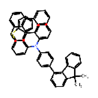 CC1(C)c2ccccc2-c2c(-c3ccc(N(c4ccccc4-c4cccc5cccc(-c6ccccc6)c45)c4cccc5sc6ccccc6c45)cc3)cccc21